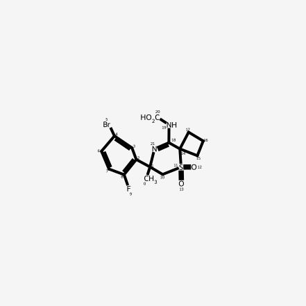 CC1(c2cc(Br)ccc2F)CS(=O)(=O)C2(CCC2)C(NC(=O)O)=N1